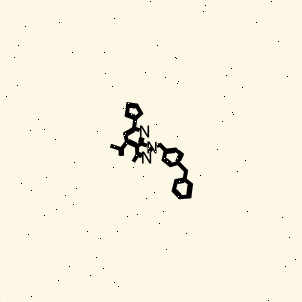 C=C(C)c1cc(C2=CC=CC2)nc2c1c(C)nn2Cc1ccc(Cc2ccccc2)cc1